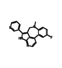 CN1Cc2c(-c3cccnc3)[nH]c3nccc(c23)-c2cc(F)ccc21